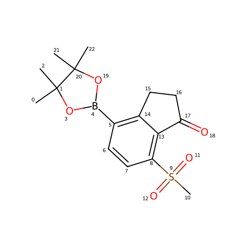 CC1(C)OB(c2ccc(S(C)(=O)=O)c3c2CCC3=O)OC1(C)C